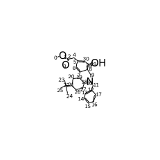 COC(=O)Cc1ccc(CN(Cc2ccccc2)[C@H]2CC[C@H](C(C)(C)C)CC2)c(O)c1